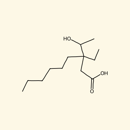 CCCCCCC(CC)(CC(=O)O)C(C)O